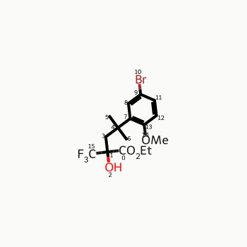 CCOC(=O)C(O)(CC(C)(C)c1cc(Br)ccc1OC)C(F)(F)F